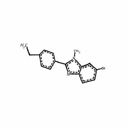 CCc1ccc(-c2nc3ccc(Br)cc3n2C)cc1